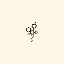 CCCCN1C(=O)N(c2ccc(C)cc2)C2(CCCCC2)C1=S